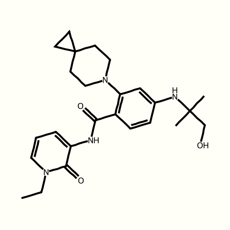 CCn1cccc(NC(=O)c2ccc(NC(C)(C)CO)cc2N2CCC3(CC2)CC3)c1=O